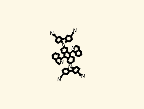 N#Cc1ccc2c(c1)c1cc(C#N)ccc1n2-c1ccc2c(-c3nccc4ccccc34)c3cc(-n4c5ccc(C#N)cc5c5cc(C#N)ccc54)ccc3c(-c3nccc4ccccc34)c2c1